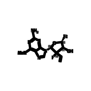 C=C[C@@]1(F)[C@H](O)[C@@H](CC)O[C@H]1n1cnc2c(NC)nc(N)nc21